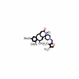 CCN1C(=O)C=C2C/C(=C\C(C)c3c(cc(OC)cc3OC)C2)C12CCN(Cc1occ(C)c1C)CC2